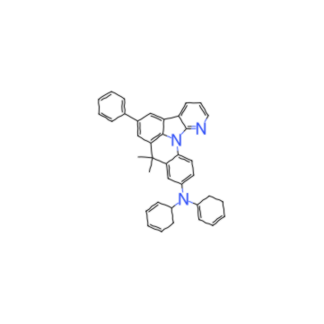 CC1(C)c2cc(N(C3=CC=CCC3)C3C=CC=CC3)ccc2-n2c3ncccc3c3cc(-c4ccccc4)cc1c32